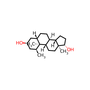 C[C@H]1C[C@@H](O)C[C@@H]2CC[C@H]3[C@@H]4CC[C@H](O)[C@@]4(C)CC[C@@H]3[C@]21C